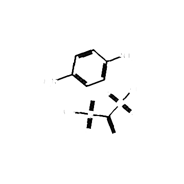 C=C(S(=O)(=O)O)S(=O)(=O)O.Nc1ccc(N)cc1